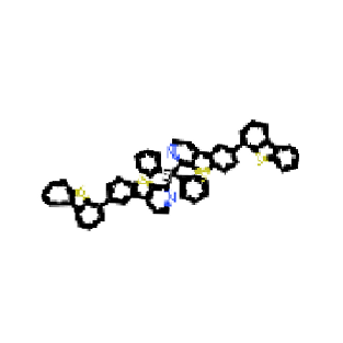 c1ccc([Si](c2ccccc2)(c2nccc3c2sc2ccc(-c4cccc5c4sc4ccccc45)cc23)c2nccc3c2sc2ccc(-c4cccc5c4sc4ccccc45)cc23)cc1